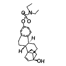 CCN(CC)S(=O)(=O)Oc1ccc2c(c1)CC[C@@H]1[C@@H]2CC[C@]2(C)[C@@]3(O)C=C[C@]12CC3